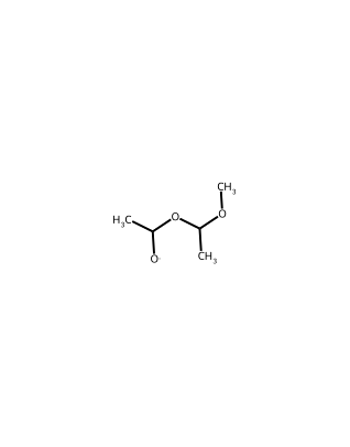 COC(C)OC(C)[O]